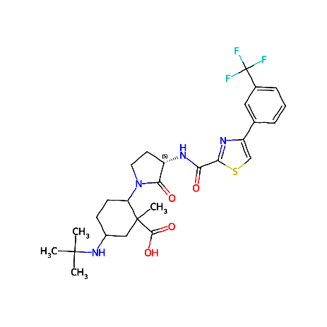 CC(C)(C)NC1CCC(N2CC[C@H](NC(=O)c3nc(-c4cccc(C(F)(F)F)c4)cs3)C2=O)C(C)(C(=O)O)C1